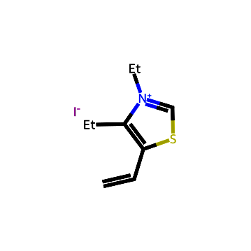 C=Cc1sc[n+](CC)c1CC.[I-]